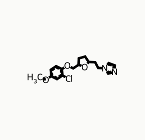 COc1ccc(OCC2CCC(CCn3ccnc3)O2)c(Cl)c1